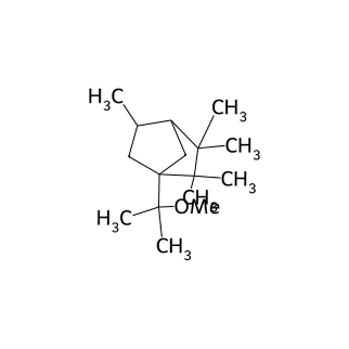 COC(C)(C)C12CC(C)C(C1)C(C)(C)C2(C)C